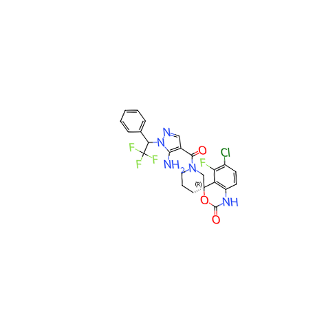 Nc1c(C(=O)N2CCC[C@@]3(C2)OC(=O)Nc2ccc(Cl)c(F)c23)cnn1C(c1ccccc1)C(F)(F)F